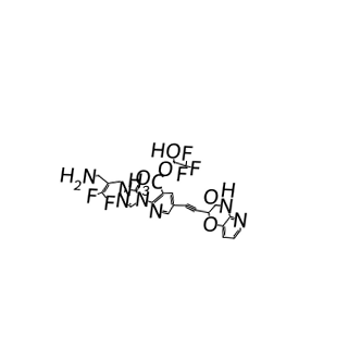 Cc1cc(C#CC2Oc3cccnc3NC2=O)cnc1-n1cnn(CC(CN)=C(F)F)c1=O.O=C(O)C(F)(F)F